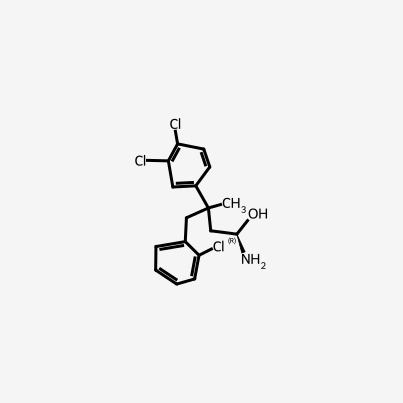 CC(Cc1ccccc1Cl)(C[C@H](N)O)c1ccc(Cl)c(Cl)c1